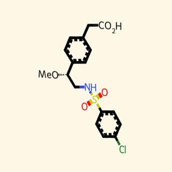 CO[C@@H](CNS(=O)(=O)c1ccc(Cl)cc1)c1ccc(CC(=O)O)cc1